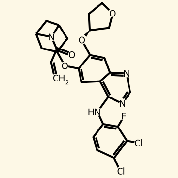 C=CC(=O)N1C2CC(Oc3cc4c(Nc5ccc(Cl)c(Cl)c5F)ncnc4cc3O[C@H]3CCOC3)CC1C2